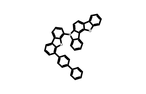 c1ccc(-c2ccc(-c3cccc4c3oc3c(-n5c6ccccc6c6c7oc8ccccc8c7ccc65)cccc34)cc2)cc1